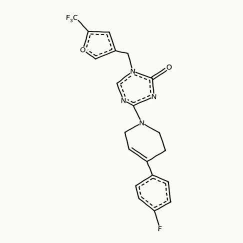 O=c1nc(N2CC=C(c3ccc(F)cc3)CC2)ncn1Cc1coc(C(F)(F)F)c1